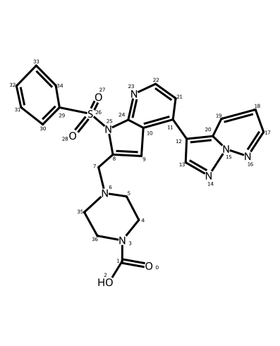 O=C(O)N1CCN(Cc2cc3c(-c4cnn5ncccc45)ccnc3n2S(=O)(=O)c2ccccc2)CC1